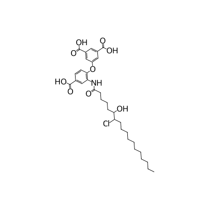 CCCCCCCCCCCC(Cl)C(O)CCCCC(=O)Nc1cc(C(=O)O)ccc1Oc1cc(C(=O)O)cc(C(=O)O)c1